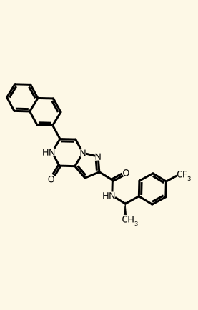 C[C@@H](NC(=O)c1cc2c(=O)[nH]c(-c3ccc4ccccc4c3)cn2n1)c1ccc(C(F)(F)F)cc1